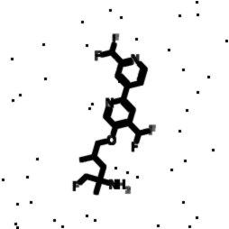 CC(COc1cnc(-c2ccnc(C(F)F)c2)cc1C(F)F)CC(C)(N)CF